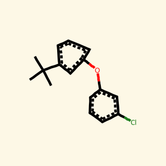 CC(C)(C)c1cccc(Oc2cccc(Cl)c2)c1